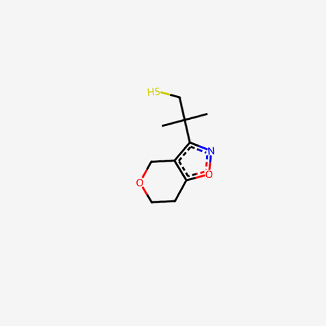 CC(C)(CS)c1noc2c1COCC2